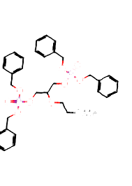 COCCOC(COP(=O)(OCc1ccccc1)OCc1ccccc1)COP(=O)(OCc1ccccc1)OCc1ccccc1